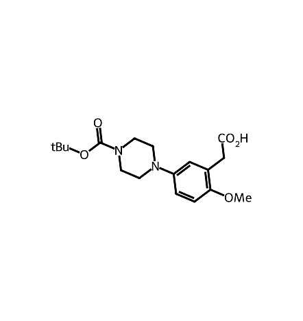 COc1ccc(N2CCN(C(=O)OC(C)(C)C)CC2)cc1CC(=O)O